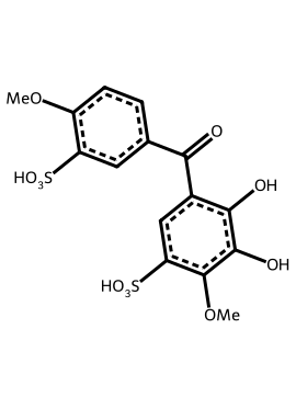 COc1ccc(C(=O)c2cc(S(=O)(=O)O)c(OC)c(O)c2O)cc1S(=O)(=O)O